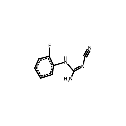 N#C/N=C(/N)Nc1ccccc1F